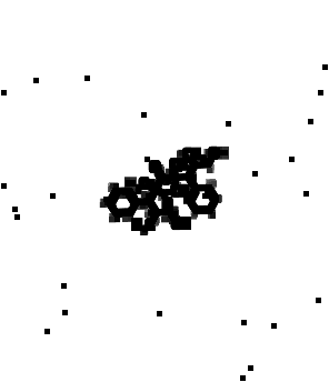 CC(CO)C(c1ccccc1)C(C)(C)C(=O)C(C)(C)C(c1ccccc1)C(C)CO